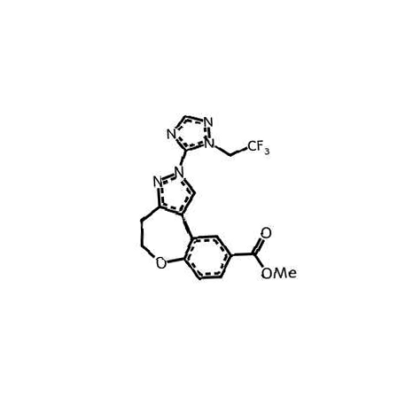 COC(=O)c1ccc2c(c1)-c1cn(-c3ncnn3CC(F)(F)F)nc1CCO2